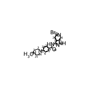 CN1CCN(c2ccc(C(=O)Nc3n[nH]c4cnc(Br)cc34)cc2)CC1